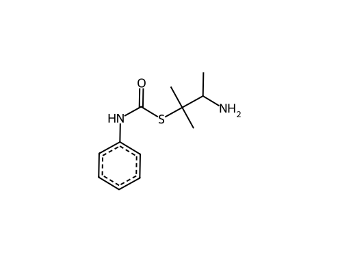 CC(N)C(C)(C)SC(=O)Nc1ccccc1